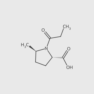 CCC(=O)N1[C@H](C)CC[C@H]1C(=O)O